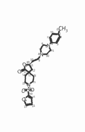 Cc1ccc(N2CCN(CC[C@H]3CC4(CCN(S(=O)(=O)c5ccco5)CC4)C(=O)O3)CC2)cc1